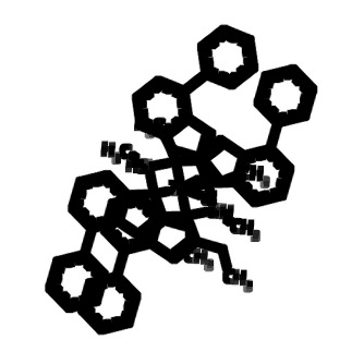 CCC1=Cc2c(-c3ccccc3)cccc2[C]12[SiH](C)[C]1(C(CC)=Cc3c(-c4ccccc4)cccc31)[Zr]21([Cl])([Cl])[C]2(C(CC)=Cc3c(-c4ccccc4)cccc32)[SiH](C)[C]12C(CC)=Cc1c(-c3ccccc3)cccc12